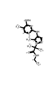 CNc1nc(Nc2cnn(C(C)(C)C(=O)NCC(F)(F)F)c2C)ncc1C(F)(F)F